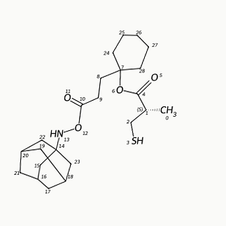 C[C@H](CS)C(=O)OC1(CCC(=O)ONC23CC4CC(CC(C4)C2)C3)CCCCC1